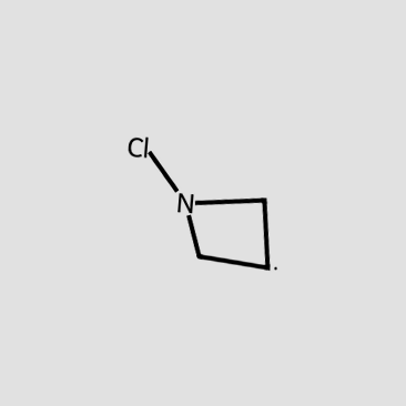 ClN1C[CH]C1